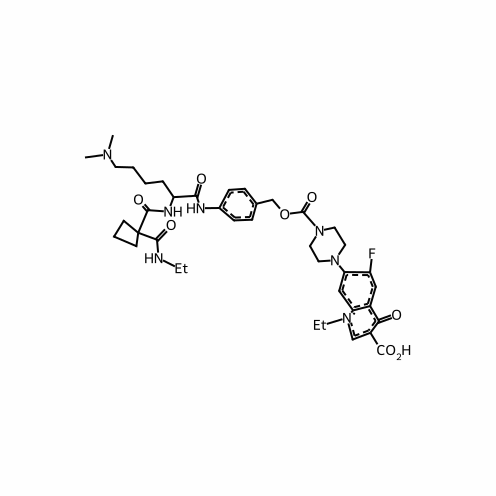 CCNC(=O)C1(C(=O)NC(CCCCN(C)C)C(=O)Nc2ccc(COC(=O)N3CCN(c4cc5c(cc4F)c(=O)c(C(=O)O)cn5CC)CC3)cc2)CCC1